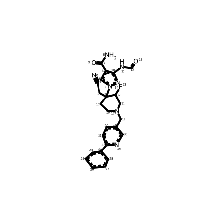 N#CCC1(n2cc(C(N)=O)c(NC=O)n2)CCN(Cc2ccc(-c3ccccc3)nc2)CC1F